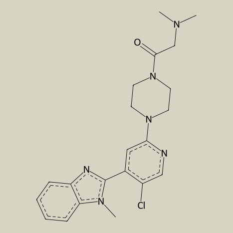 CN(C)CC(=O)N1CCN(c2cc(-c3nc4ccccc4n3C)c(Cl)cn2)CC1